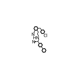 N#Cc1cccc(Cc2ccc(Cl)cc2)c1CCCNCC(C#N)c1ccc(-c2ccccc2)cc1